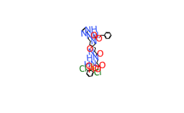 O=C(NCC(NS(=O)(=O)c1c(Cl)cccc1Cl)C(=O)O)C1=NO[C@]2(C1)CC(CNc1ncc[nH]1)N(C(=O)OCc1ccccc1)C2